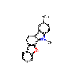 CCCCc1ccc2c(c1)c1ccc3c4ccccc4oc3c1n2C